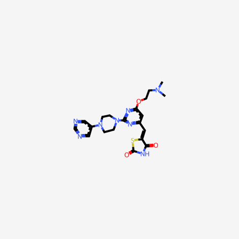 CN(C)CCOc1cc(/C=C2\SC(=O)NC2=O)nc(N2CCN(c3cncnc3)CC2)n1